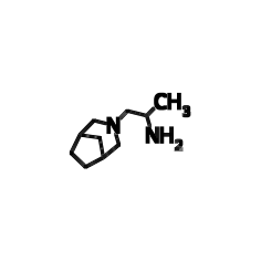 CC(N)CN1CC2CCC(C2)C1